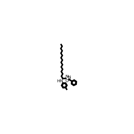 CCCCCCCCCCCCCCCC(Nc1ccc(C)cc1)c1nnc(-c2ccccc2)o1